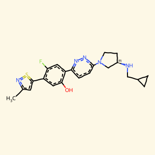 Cc1cc(-c2cc(O)c(-c3ccc(N4CC[C@@H](NCC5CC5)C4)nn3)cc2F)sn1